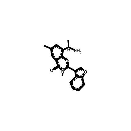 Cc1cc([C@@H](C)N)c2nc(-c3coc4ccccc34)n(C)c(=O)c2c1